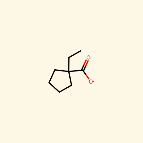 CCC1(C([O])=O)CCCC1